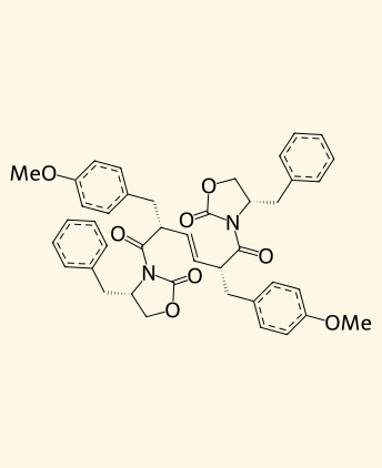 COc1ccc(C[C@H](C=C[C@@H](Cc2ccc(OC)cc2)C(=O)N2C(=O)OC[C@@H]2Cc2ccccc2)C(=O)N2C(=O)OC[C@@H]2Cc2ccccc2)cc1